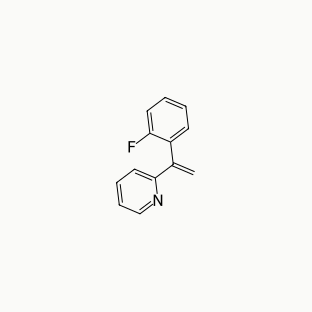 C=C(c1ccccn1)c1ccccc1F